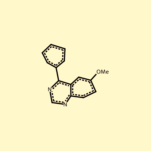 COc1ccc2ncnc(-c3ccccc3)c2c1